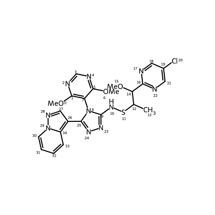 COc1ncnc(OC)c1-n1c(NSC(C)C(OC)c2ncc(Cl)cn2)nnc1-c1cnn2ccccc12